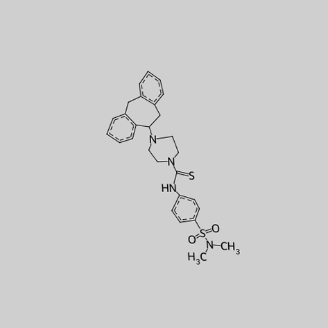 CN(C)S(=O)(=O)c1ccc(NC(=S)N2CCN(C3Cc4ccccc4Cc4ccccc43)CC2)cc1